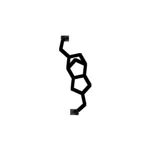 SCC1CC2C3CC(CS)C(C3)C2C1